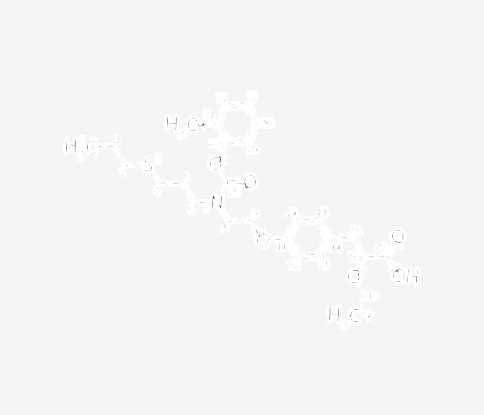 CCCSCCCN(CCOc1ccc(CC(OCC)C(=O)O)cc1)C(=O)Oc1ccccc1C